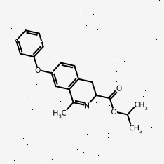 CC1=NC(C(=O)OC(C)C)Cc2ccc(Oc3ccccc3)cc21